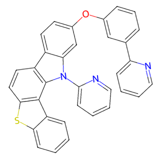 c1ccc(-c2cccc(Oc3ccc4c5ccc6sc7ccccc7c6c5n(-c5ccccn5)c4c3)c2)nc1